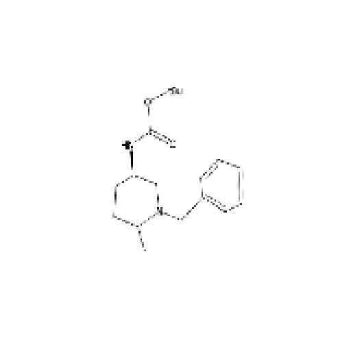 CC1CC[C@@H](NC(=O)OC(C)(C)C)CN1Cc1ccccc1